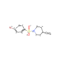 O=C[C]1CCN(S(=O)(=O)c2ccc(Br)cc2)CC1